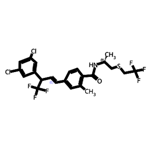 Cc1cc(/C=C/C(c2cc(Cl)cc(Cl)c2)C(F)(F)F)ccc1C(=O)N[C@H](C)CSCC(F)(F)F